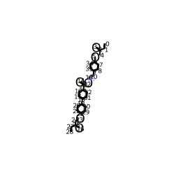 C=CC(=O)COc1ccc(/C=C/OC(=O)c2ccc(-c3ccc(OCC(=O)C=C)cc3)cc2)cc1